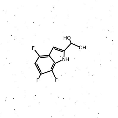 OC(O)c1cc2c(F)cc(F)c(F)c2[nH]1